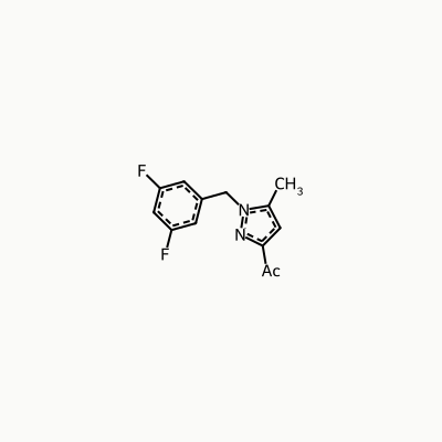 CC(=O)c1cc(C)n(Cc2cc(F)cc(F)c2)n1